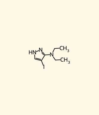 CCN(CC)c1n[nH]cc1I